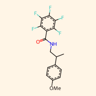 COc1ccc(C(C)CNC(=O)c2c(F)c(F)c(F)c(F)c2F)cc1